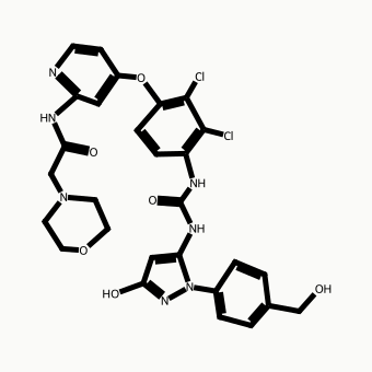 O=C(CN1CCOCC1)Nc1cc(Oc2ccc(NC(=O)Nc3cc(O)nn3-c3ccc(CO)cc3)c(Cl)c2Cl)ccn1